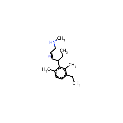 CCc1ccc(C)c(C(/C=C\CNC)CC)c1C